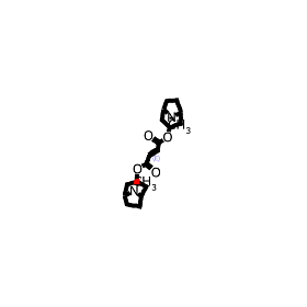 CN1C2CCC1CC(OC(=O)/C=C/C(=O)OC1CC3CCC(C1)N3C)C2